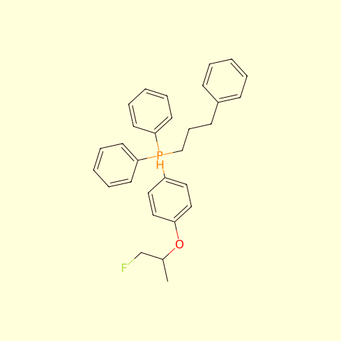 CC(CF)Oc1ccc([PH](CCCc2ccccc2)(c2ccccc2)c2ccccc2)cc1